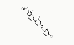 Cn1c(C=O)cc2ccc(-n3ccc(OCc4ccc(Cl)cn4)cc3=O)cc21